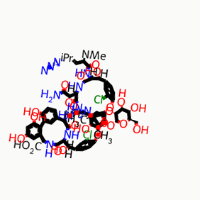 CN[C@H](CC(C)C)C(=O)N[C@H]1C(=O)N[C@@H](CC(N)=O)C(=O)N[C@H]2C(=O)N[C@H]3C(=O)N[C@H](C(=O)N[C@@H](C(=O)O)c4cc(O)cc(O)c4-c4cc3ccc4O)[C@H](O)c3ccc(c(Cl)c3)Oc3cc2cc(c3O[C@@H]2O[C@H](CO)[C@@H](O)[C@H](O)[C@H]2O[C@H]2C[C@](C)(N)C(O)[C@H](C)O2)Oc2ccc(cc2Cl)[C@H]1O.[N-]=[N+]=[N-]